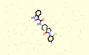 O=C(N[C@H]1CC[C@@]2(CCN(c3ccc(F)cc3Cl)C2=O)CC1)c1n[nH]c2ccccc12